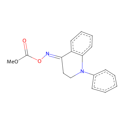 COC(=O)O/N=C1\CCN(c2ccccc2)c2ccccc21